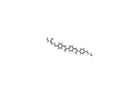 C=CCOc1ccc(C(=O)Oc2ccc(C(=O)Oc3ccc(OCOC(=O)C=C)cc3)cc2)cc1